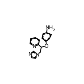 Nc1ccc(OC(Cn2ccnc2)c2ccccn2)cc1